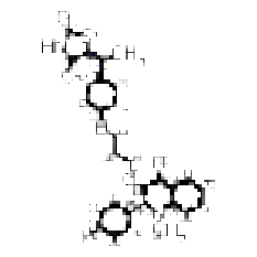 C/C(=C1\SC(=O)NC1=O)c1ccc(OCCCOc2c(-c3ccc(F)cc3)n(C)c3ccccc3c2=O)cc1